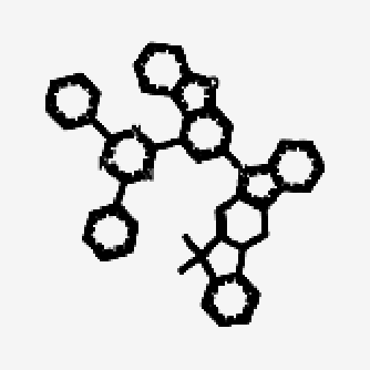 CC1(C)C2=Cc3c(c4ccccc4n3-c3cc(-c4nc(-c5ccccc5)nc(-c5ccccc5)n4)c4c(c3)oc3ccccc34)CC2c2ccccc21